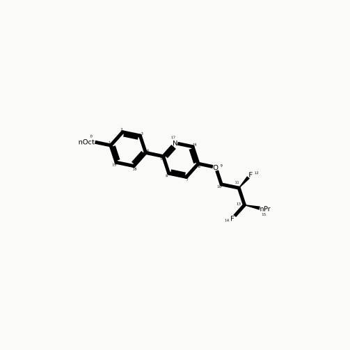 CCCCCCCCc1ccc(-c2ccc(OC[C@@H](F)[C@H](F)CCC)cn2)cc1